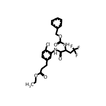 CCOC(=O)CCc1ccc(Cl)c(NC(=O)C(CC(F)(F)F)NC(=O)OCc2ccccc2)c1